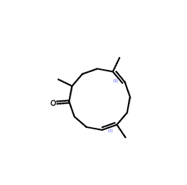 C/C1=C/CCC(=O)C(C)CC/C(C)=C\CC1